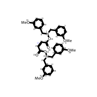 COc1cccc(CN(Cc2cccc(OC)c2)OC(=O)/C=C\C(=O)ON(Cc2cccc(OC)c2)Cc2cccc(OC)c2)c1